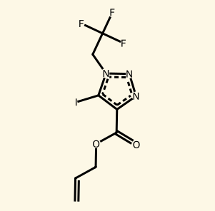 C=CCOC(=O)c1nnn(CC(F)(F)F)c1I